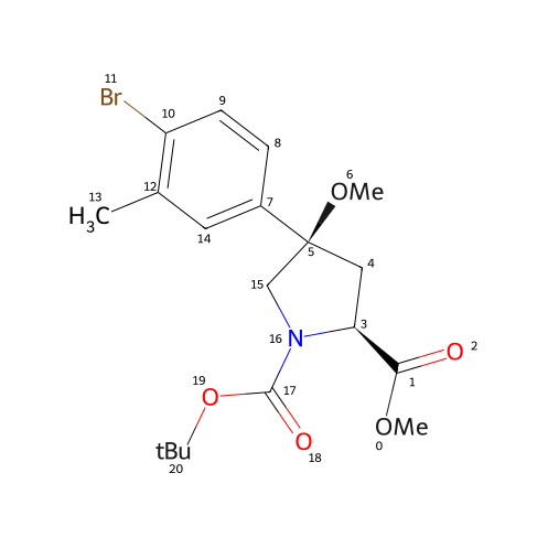 COC(=O)[C@@H]1C[C@@](OC)(c2ccc(Br)c(C)c2)CN1C(=O)OC(C)(C)C